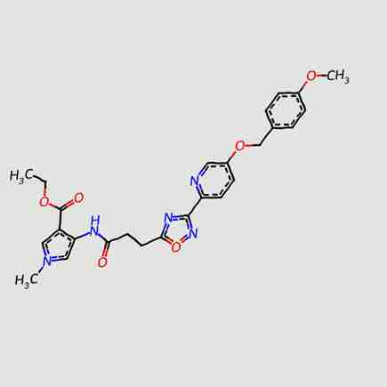 CCOC(=O)c1cn(C)cc1NC(=O)CCc1nc(-c2ccc(OCc3ccc(OC)cc3)cn2)no1